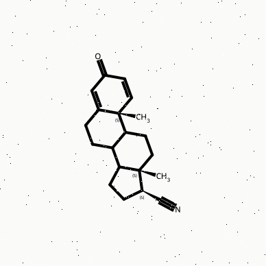 C[C@]12C=CC(=O)C=C1CCC1C2CC[C@@]2(C)C1CC[C@@H]2C#N